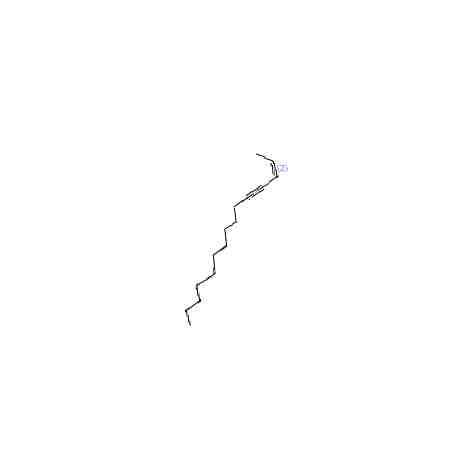 C/C=C\C#CCCCCCCCCCC